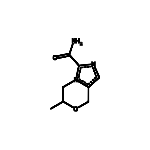 CC1Cn2c(cnc2C(N)=O)CO1